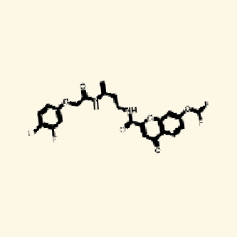 C=C(CCNC(=O)c1cc(=O)c2ccc(OC(F)F)cc2o1)NC(=O)COc1ccc(Cl)c(F)c1